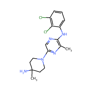 Cc1nc(N2CCC(C)(N)CC2)cnc1Nc1cccc(Cl)c1Cl